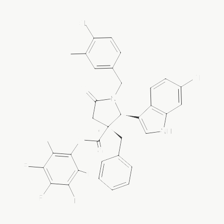 O=C1C[C@@](Cc2ccccc2)(C(=O)Oc2c(F)c(F)c(F)c(F)c2F)[C@H](c2c[nH]c3cc(Cl)ccc23)N1Cc1ccc(Cl)c(F)c1